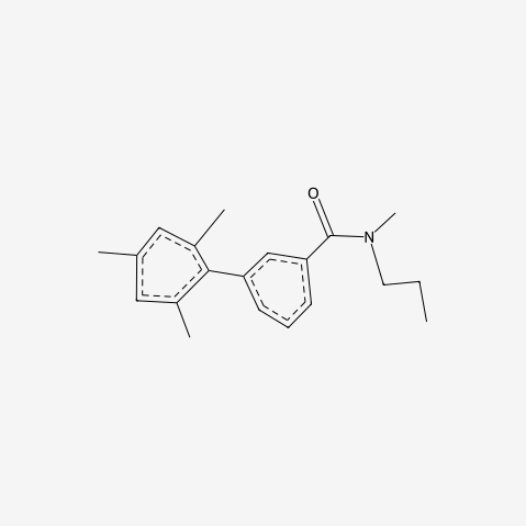 CCCN(C)C(=O)c1cccc(-c2c(C)cc(C)cc2C)c1